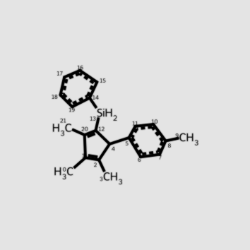 CC1=C(C)C(c2ccc(C)cc2)C([SiH2]c2ccccc2)=C1C